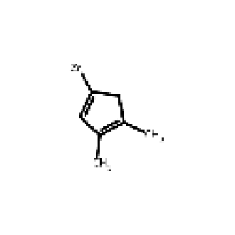 CC1=C(C)C[C]([Zr])=C1